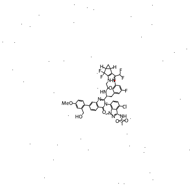 COc1ccc(-c2ccc3c(=O)n(-c4ccc(Cl)c5c(NS(C)(=O)=O)nn(C)c45)c([C@H](Cc4cc(F)cc(F)c4)NC(=O)Cn4nc(C(F)F)c5c4C(F)(F)[C@@H]4C[C@H]54)nc3c2)c(CO)c1